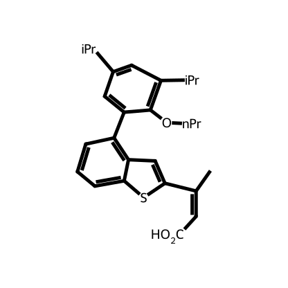 CCCOc1c(-c2cccc3sc(/C(C)=C\C(=O)O)cc23)cc(C(C)C)cc1C(C)C